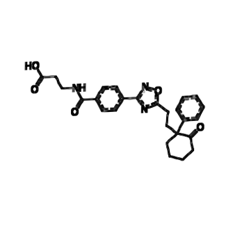 O=C(O)CCNC(=O)c1ccc(-c2noc(CCC3(c4ccccc4)CCCCC3=O)n2)cc1